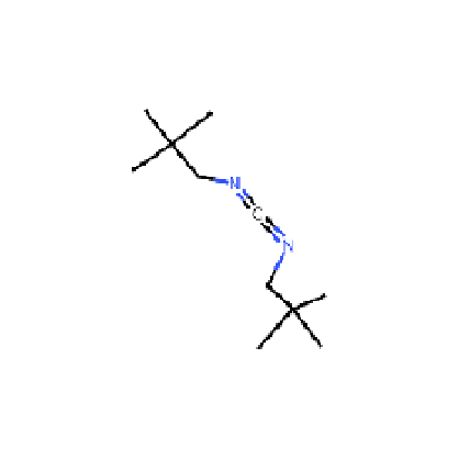 CC(C)(C)CN=C=NCC(C)(C)C